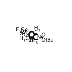 CC(C)(C)OC(=O)N1CC[C@H]2C(C)(C)C(OS(=O)(=O)C(F)(F)F)=CC[C@]2(C)C1